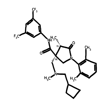 Cc1cccc(C)c1N1C[C@@](CN(C)CC2CCC2)(C(=O)Nc2cc(C(F)(F)F)cc(C(F)(F)F)c2)[C@H](C)C1=O